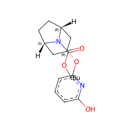 CC(C)(C)OC(=O)N1[C@@H]2CC[C@H]1C[C@@H](Oc1cccc(O)n1)C2